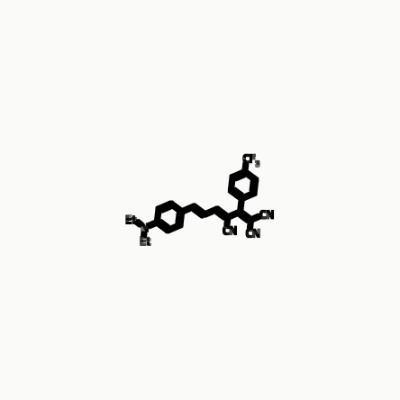 CCN(CC)c1ccc(/C=C/C=C(\C#N)C(=C(C#N)C#N)c2ccc(C(F)(F)F)cc2)cc1